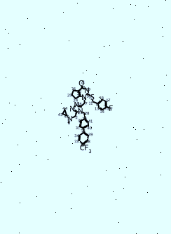 CN(Cc1nnc(Cn2c(SCc3ccc(F)cc3)nc(=O)c3c2CCC3)n1Cc1ccc(-c2ccc(C(F)(F)F)cc2)cc1)C1CC1